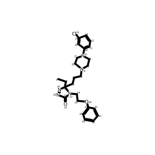 CCC1(CCCN2CCN(c3cccc(Cl)c3)CC2)N=NC(=O)N1CCOc1ccccc1